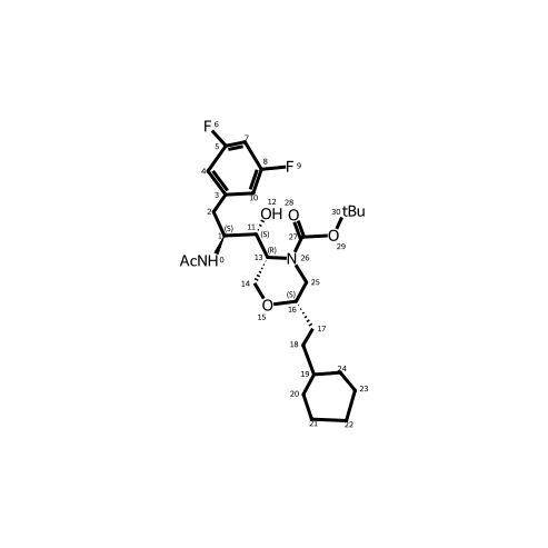 CC(=O)N[C@@H](Cc1cc(F)cc(F)c1)[C@H](O)[C@H]1CO[C@@H](CCC2CCCCC2)CN1C(=O)OC(C)(C)C